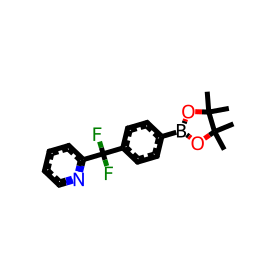 CC1(C)OB(c2ccc(C(F)(F)c3ccccn3)cc2)OC1(C)C